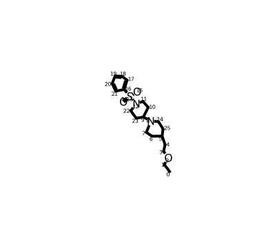 CCOCCC1CCN(C2CCN(S(=O)(=O)c3ccccc3)CC2)CC1